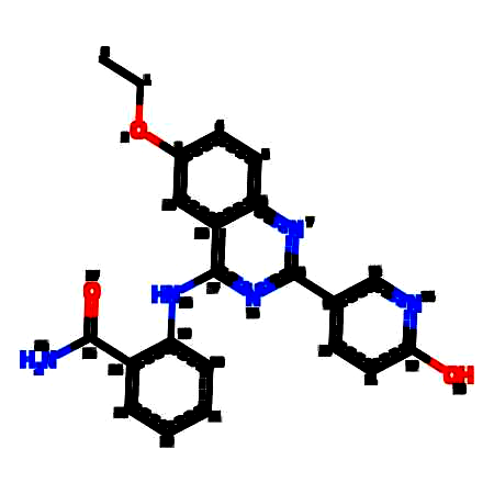 CCOc1ccc2nc(-c3ccc(O)nc3)nc(Nc3ccccc3C(N)=O)c2c1